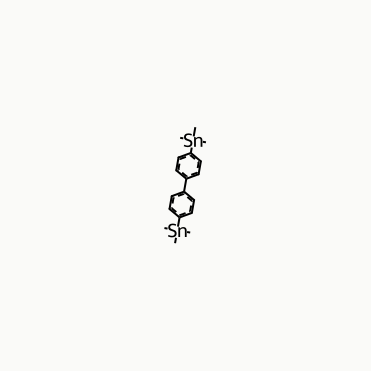 [CH3][Sn]([CH3])([CH3])[c]1ccc(-c2cc[c]([Sn]([CH3])([CH3])[CH3])cc2)cc1